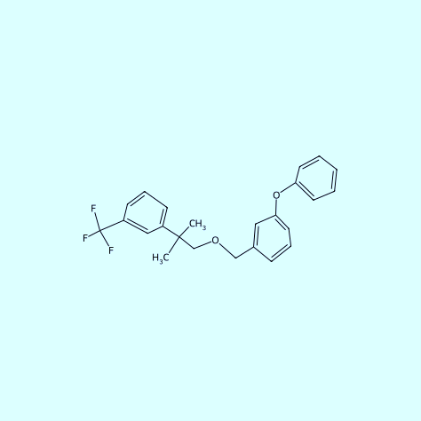 CC(C)(COCc1cccc(Oc2ccccc2)c1)c1cccc(C(F)(F)F)c1